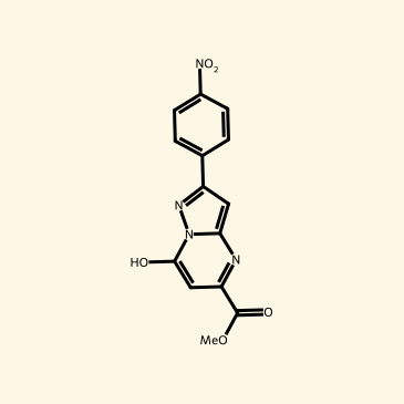 COC(=O)c1cc(O)n2nc(-c3ccc([N+](=O)[O-])cc3)cc2n1